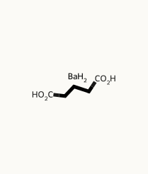 O=C(O)CCCC(=O)O.[BaH2]